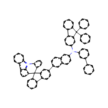 c1ccc(-c2cccc(N(c3ccc4c(c3)C(c3ccccc3)(c3ccccc3)c3ccccc3-4)c3ccc4cc(-c5ccc6c(c5)C5(c7ccccc7-6)c6ccccc6-n6c7ccccc7c7cccc5c76)ccc4c3)c2)cc1